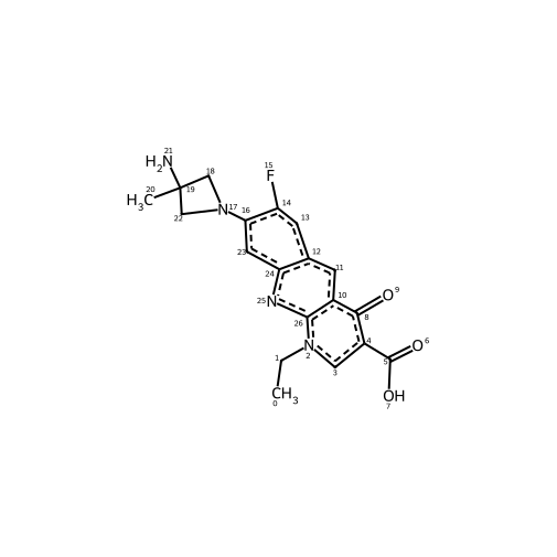 CCn1cc(C(=O)O)c(=O)c2cc3cc(F)c(N4CC(C)(N)C4)cc3nc21